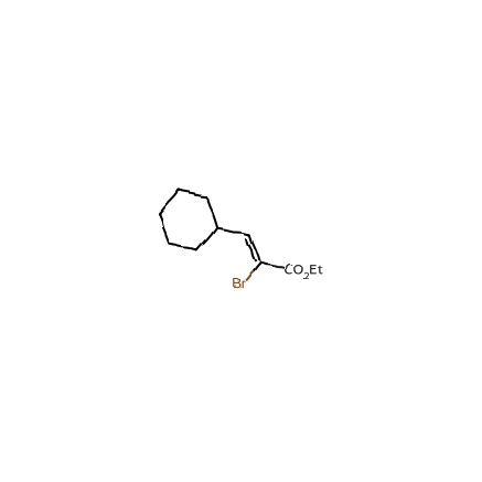 CCOC(=O)C(Br)=CC1CCCCC1